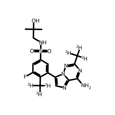 [2H]C([2H])([2H])c1nc(N)c2ncc(-c3cc(S(=O)(=O)NCC(C)(C)O)cc(F)c3C([2H])([2H])[2H])n2n1